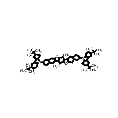 Cc1c2oc3cc4cc(-n5c6ccc(C(C)(C)C)cc6c6cc(C(C)(C)C)ccc65)ccc4cc3c2c(C)c2oc3cc4cc(-n5c6ccc(C(C)(C)C)cc6c6cc(C(C)(C)C)ccc65)ccc4cc3c12